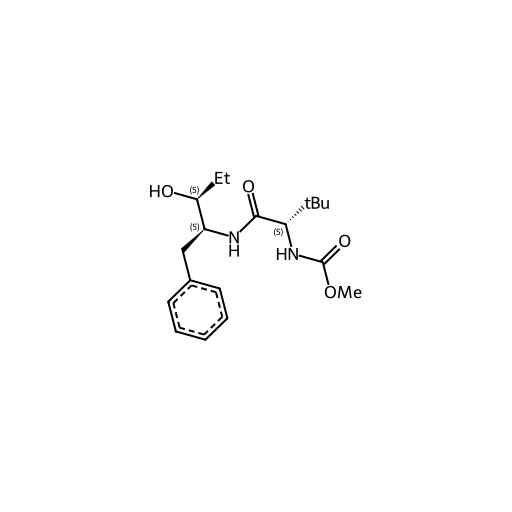 CC[C@H](O)[C@H](Cc1ccccc1)NC(=O)[C@@H](NC(=O)OC)C(C)(C)C